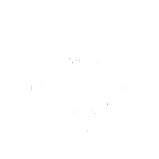 CC(C)N.O=C(O)CC(C(=O)O)S(=O)(=O)O